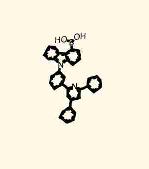 OB(O)c1cccc2c1c1ccccc1n2-c1cccc(-c2cc(-c3ccccc3)cc(-c3ccccc3)n2)c1